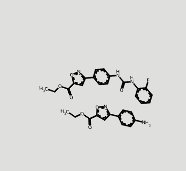 CCOC(=O)c1cc(-c2ccc(N)cc2)no1.CCOC(=O)c1cc(-c2ccc(NC(=O)Nc3ccccc3F)cc2)no1